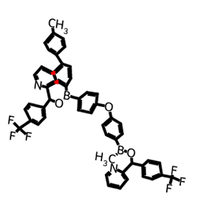 CB(OC(c1ccc(C(F)(F)F)cc1)c1ccccn1)c1ccc(Oc2ccc(B(OC(c3ccc(C(F)(F)F)cc3)c3ccccn3)c3ccc(-c4ccc(C)cc4)cc3)cc2)cc1